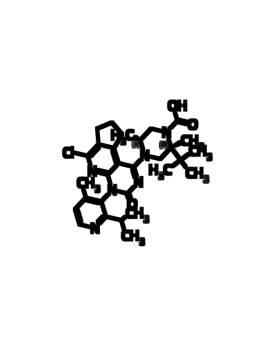 Cc1ccnc(C(C)C)c1-n1c(=O)nc(N2C[C@@](C)(C(C)(C)C)N(C(=O)O)C[C@@H]2C)c2c3c(c(Cl)nc21)CCC3